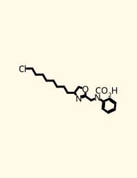 O=C(O)N(CC1=NC(CCCCCCCCCl)CO1)c1ccccc1